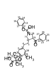 Cc1cc(CCC2CN(C(O)Oc3ccccc3)CC2C(=O)c2ccccc2)cc(C)c1OC(C)(C)C(=O)O